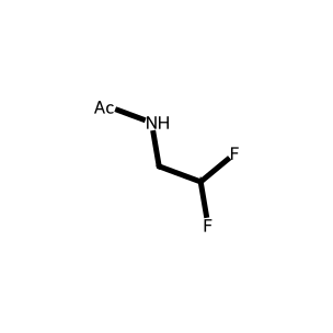 CC(=O)NC[C](F)F